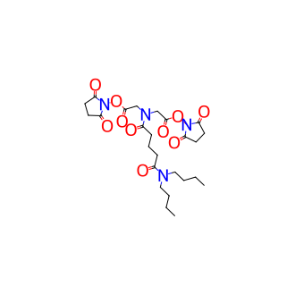 CCCCN(CCCC)C(=O)CCCC(=O)N(CC(=O)ON1C(=O)CCC1=O)CC(=O)ON1C(=O)CCC1=O